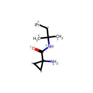 CC(C)CC(C)(C)NC(=O)C1(N)CC1